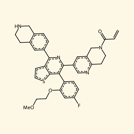 C=CC(=O)N1CCc2ncc(-c3nc(-c4ccc5c(c4)CCNC5)c4ccsc4c3-c3ccc(F)cc3OCCOC)cc2C1